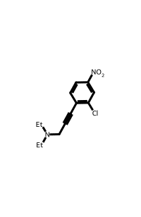 CCN(CC)CC#Cc1ccc([N+](=O)[O-])cc1Cl